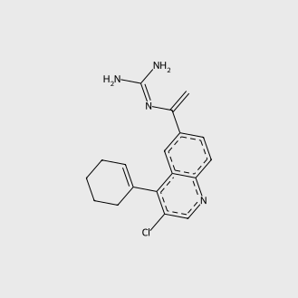 C=C(N=C(N)N)c1ccc2ncc(Cl)c(C3=CCCCC3)c2c1